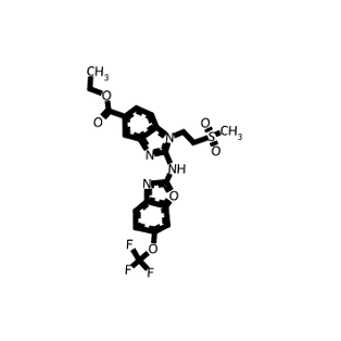 CCOC(=O)c1ccc2c(c1)nc(Nc1nc3ccc(OC(F)(F)F)cc3o1)n2CCS(C)(=O)=O